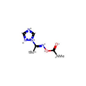 CNC(=O)ON=C(n1cncn1)C(C)(C)C